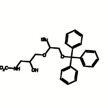 CC(C)(C)C(COC(c1ccccc1)(c1ccccc1)c1ccccc1)OCC(O)CNC(=O)O